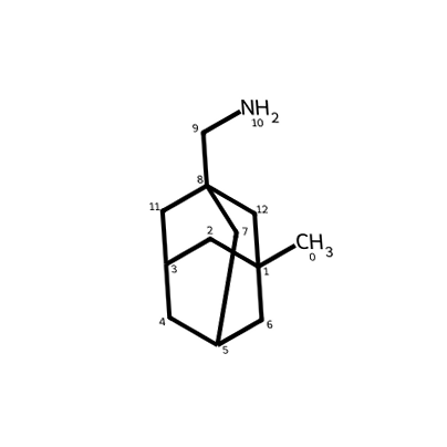 CC12CC3CC(C1)CC(CN)(C3)C2